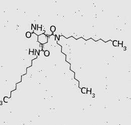 CCCCCCCCCCCCNC(=O)[C@H]1CC(C(N)=O)C[C@@H](C(=O)N(CCCCCCCCCCCC)CCCCCCCCCCCC)C1